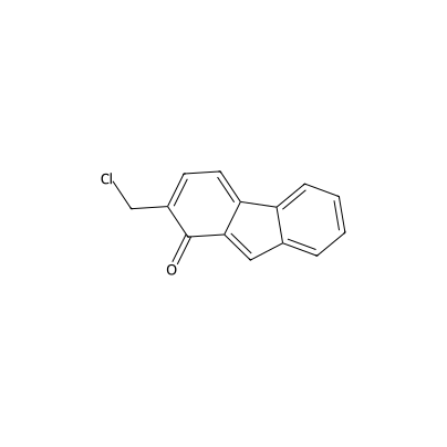 O=C1C(CCl)=CC=C2C1=Cc1ccccc12